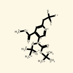 COC(=O)c1cc(CC(F)(F)F)ncc1N(OC(C)(C)C)C(=O)OC(C)(C)C